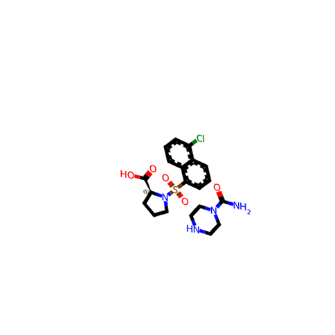 NC(=O)N1CCNCC1.O=C(O)[C@@H]1CCCN1S(=O)(=O)c1cccc2c(Cl)cccc12